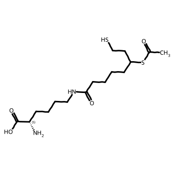 CC(=O)SC(CCS)CCCCC(=O)NCCCC[C@H](N)C(=O)O